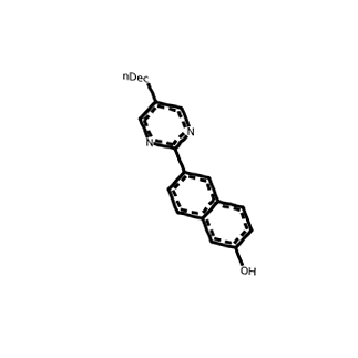 CCCCCCCCCCc1cnc(-c2ccc3cc(O)ccc3c2)nc1